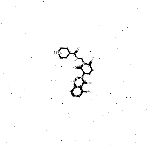 Nc1cccc2nnn(C3CCC(=O)N(COC(=O)C4CCNCC4)C3=O)c(=O)c12